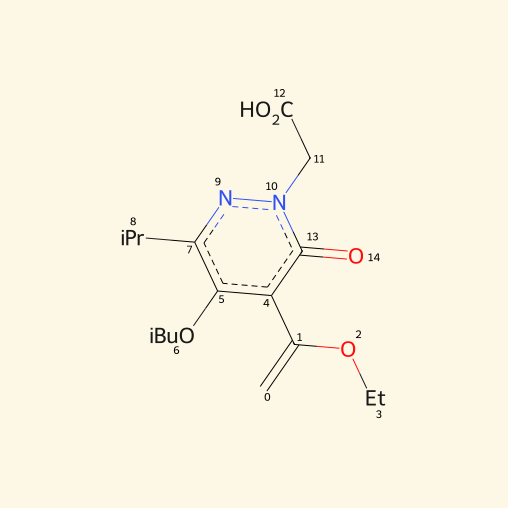 C=C(OCC)c1c(OCC(C)C)c(C(C)C)nn(CC(=O)O)c1=O